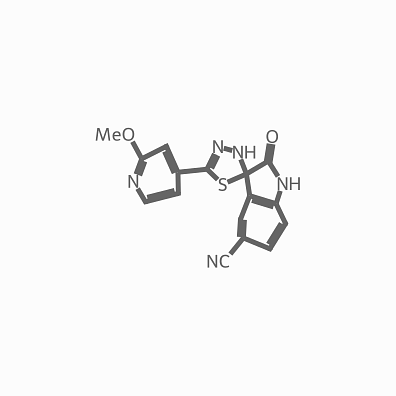 COc1cc(C2=NNC3(S2)C(=O)Nc2ccc(C#N)cc23)ccn1